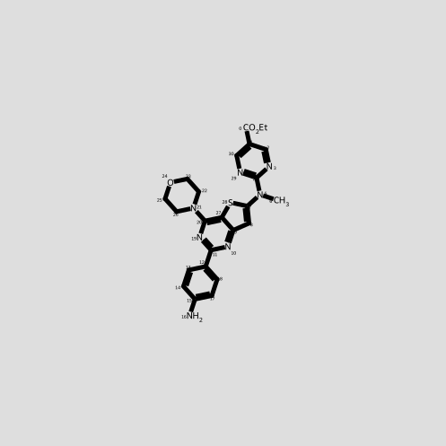 CCOC(=O)c1cnc(N(C)c2cc3nc(-c4ccc(N)cc4)nc(N4CCOCC4)c3s2)nc1